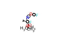 CC(C)(C)OC(=O)c1cc(C2CC2)c(CN2CCC(Oc3ccc(F)cc3)CC2)cc1F